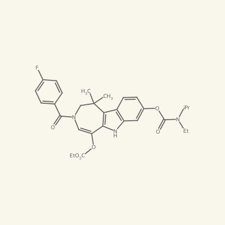 CCOC(=O)OC1=CN(C(=O)c2ccc(F)cc2)CC(C)(C)c2c1[nH]c1cc(OC(=O)N(CC)C(C)C)ccc21